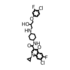 O=C(N[C@H]1CC[C@H](NCC(O)COc2ccc(Cl)c(F)c2)CC1)c1cn(C2CC2)c2cc(Cl)c(F)cc2c1=O